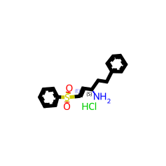 Cl.N[C@H](/C=C/S(=O)(=O)c1ccccc1)CCc1ccccc1